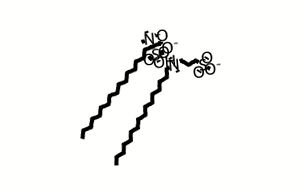 CCCCCCCCCCCCCCCCC(C(=O)[O-])([N+](C)(C)C)S(=O)(=O)O.CCCCCCCCCCCCCCCC[N+](C)(C)CCCS(=O)(=O)[O-]